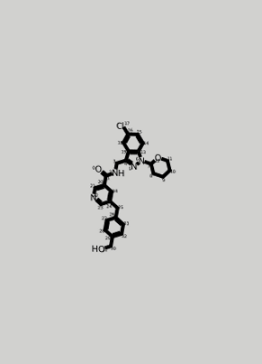 O=C(NCc1nn(C2CCCCO2)c2ccc(Cl)cc12)c1cncc(Cc2ccc(CO)cc2)c1